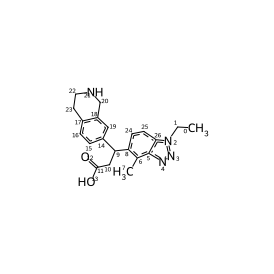 CCn1nnc2c(C)c(C(CC(=O)O)c3ccc4c(c3)CNCC4)ccc21